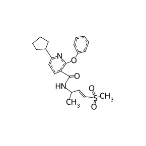 CC(C=CS(C)(=O)=O)NC(=O)c1ccc(C2CCCC2)nc1Oc1ccccc1